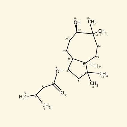 CC(C)CC(=O)O[C@H]1CC(C)(C)[C@@H]2CCC(C)(C)[C@H](O)CCC12